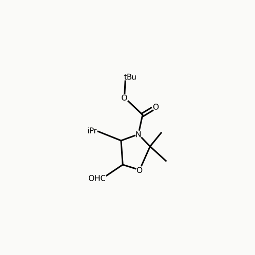 CC(C)C1C(C=O)OC(C)(C)N1C(=O)OC(C)(C)C